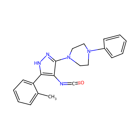 Cc1ccccc1-c1[nH]nc(N2CCN(c3ccccc3)CC2)c1N=C=O